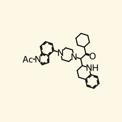 CC(=O)n1ccc2c(N3CCN(C(C(=O)C4CCCCC4)C4CCc5ccccc5N4)CC3)cccc21